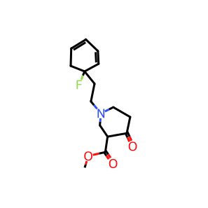 COC(=O)C1CN(CCC2(F)C=CC=CC2)CCC1=O